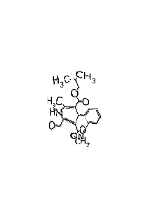 COC(=O)C1=C(C=O)NC(C)=C(C(=O)OCC(C)C)C1c1ccccc1C#N